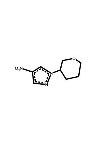 O=[N+]([O-])c1cnn(C2CCCOC2)c1